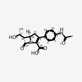 CC(=O)Nc1ccc(C2=C(C(=O)O)N3C(=O)[C@H]([C@@H](C)O)[C@H]3C2)cc1